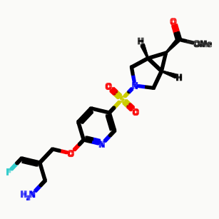 COC(=O)[C@H]1[C@@H]2CN(S(=O)(=O)c3ccc(OC/C(=C/F)CN)nc3)C[C@@H]21